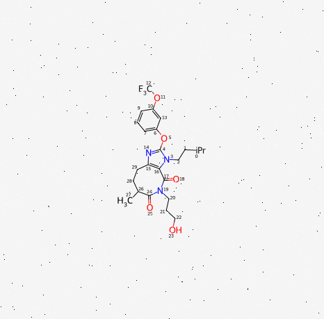 CC(C)CCn1c(Oc2cccc(OC(F)(F)F)c2)nc2c1C(=O)N(CCCO)C(=O)C(C)CC2